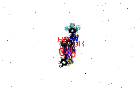 Cc1ccc2c(C(=O)N[C@@H]3CCO[C@]34O[C@H](CO)[C@H](O)[C@H](n3cc(-c5cc(F)c(F)c(F)c5)nn3)[C@H]4O)nsc2c1